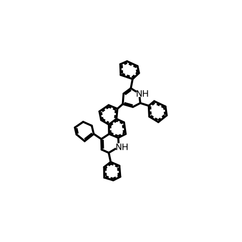 C1=CCCC(C2=CC(c3ccccc3)Nc3ccc4c(C5=CC(c6ccccc6)NC(c6ccccc6)=C5)cccc4c32)=C1